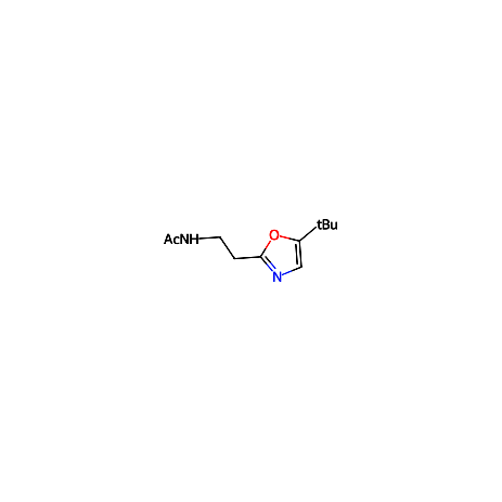 CC(=O)NCCc1ncc(C(C)(C)C)o1